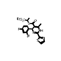 CCOC(=O)C(C)OC(=O)C1=C(C)NC(c2nccs2)=NC1c1ccc(F)cc1Br